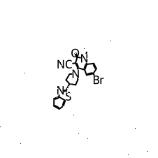 Cn1c(=O)c(C#N)c(N2CCC(c3nc4ccccc4s3)CC2)c2cc(Br)ccc21